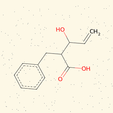 C=CC(O)C(Cc1ccccc1)C(=O)O